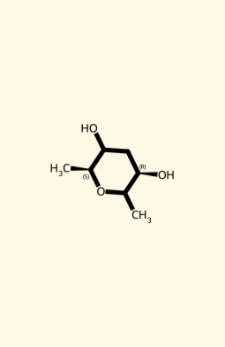 CC1O[C@@H](C)C(O)C[C@H]1O